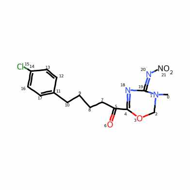 CN1COC(C(=O)CCCCc2ccc(Cl)cc2)=NC1=N[N+](=O)[O-]